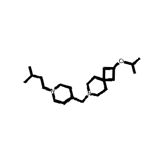 CC(C)CCN1CCC(CN2CCC3(CC2)CC(OC(C)C)C3)CC1